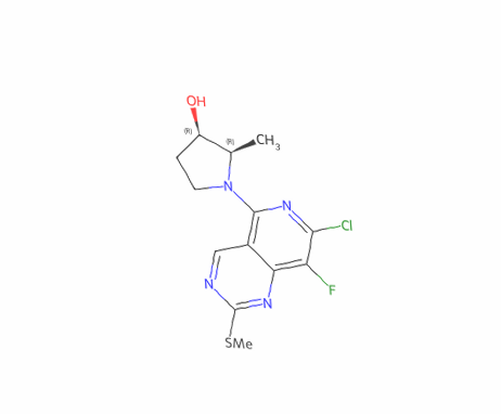 CSc1ncc2c(N3CC[C@@H](O)[C@H]3C)nc(Cl)c(F)c2n1